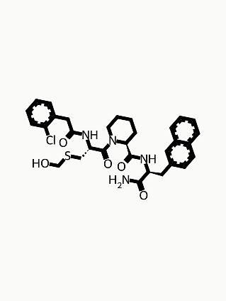 NC(=O)[C@H](Cc1ccc2ccccc2c1)NC(=O)[C@@H]1CCCCN1C(=O)[C@H](CSCO)NC(=O)Cc1ccccc1Cl